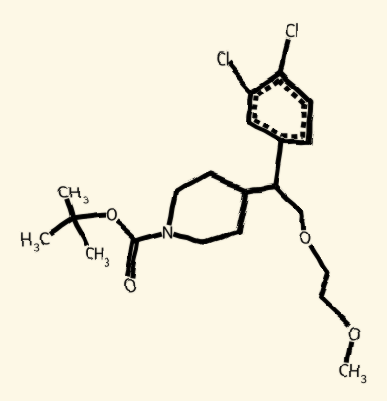 COCCOCC(c1ccc(Cl)c(Cl)c1)C1CCN(C(=O)OC(C)(C)C)CC1